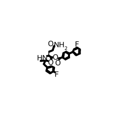 CC(C)(Cc1ccc(F)cc1)N[C@@H](CCC(N)=O)C(=O)OC(=O)c1ccc(-c2cccc(F)c2)cc1